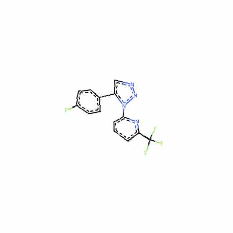 Fc1ccc(-c2cnnn2-c2cccc(C(F)(F)F)n2)cc1